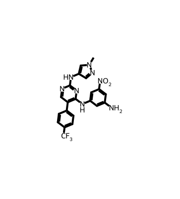 Cn1cc(Nc2ncc(-c3ccc(C(F)(F)F)cc3)c(Nc3cc(N)cc([N+](=O)[O-])c3)n2)cn1